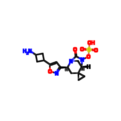 NC1CC(c2cc([C@@H]3CC4(CC4)[C@@H]4CN3C(=O)N4OS(=O)(=O)O)no2)C1